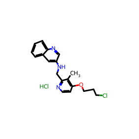 Cc1c(OCCCCl)ccnc1CNc1cnc2ccccc2c1.Cl